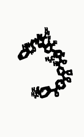 Cc1nn(CC(=O)Nc2ccccc2F)cc1-c1ccc(-c2cnc(C(=O)Nc3ccc(C(=O)N4CCN(C(=O)C5CC[N+](C)(C)CC5)CC4)c(Cl)c3)n2C)c(F)c1F